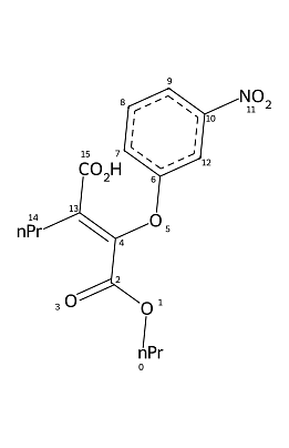 CCCOC(=O)C(Oc1cccc([N+](=O)[O-])c1)=C(CCC)C(=O)O